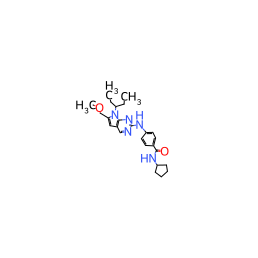 CCC(CC)n1c(COC)cc2cnc(Nc3ccc(C(=O)NC4CCCC4)cc3)nc21